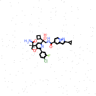 C[C@]1(C(N)=O)COc2c1cc(C(O)(CNC(=O)c1ccn3nc(C4CC4)cc3c1)C1CCC1)nc2-c1ccc(Cl)c(F)c1